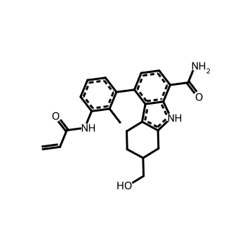 C=CC(=O)Nc1cccc(-c2ccc(C(N)=O)c3[nH]c4c(c23)CCC(CO)C4)c1C